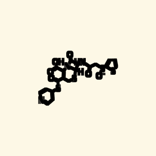 O=C(C[S+]([O-])c1cccs1)NC1C(=O)N2C(C(=O)O)=C(C(=O)Sc3ccncc3)CS[C@@H]12